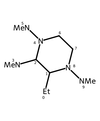 [CH2]CC1C(NC)N(NC)CCN1NC